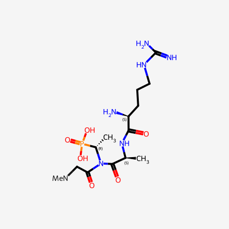 CNCC(=O)N(C(=O)[C@H](C)NC(=O)[C@@H](N)CCCNC(=N)N)[C@@H](C)P(=O)(O)O